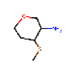 CSC1CCOCC1N